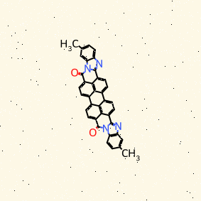 Cc1ccc2c(c1)nc1c3ccc4c5ccc6c7c(ccc(c8ccc(c(=O)n21)c3c84)c57)c(=O)n1c2cc(C)ccc2nc61